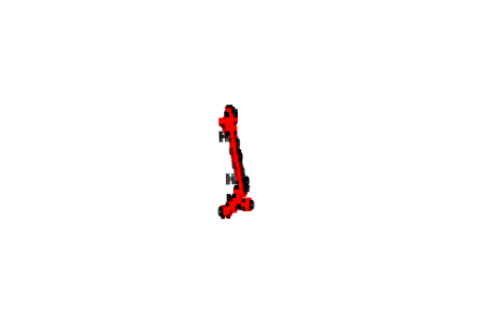 CCn1c2ccc(CNCCOCCOCCOCCOCCOCCNC(=O)COc3ccc(CCc4nc5cc(-c6c(C)noc6C)ccc5n4CCN4CCOCC4)cc3F)cc2c2ccc(-c3cscn3)cc21